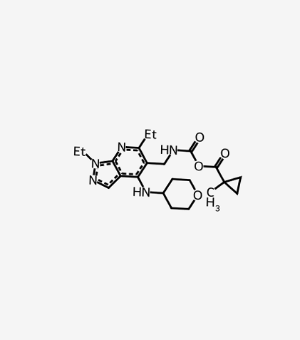 CCc1nc2c(cnn2CC)c(NC2CCOCC2)c1CNC(=O)OC(=O)C1(C)CC1